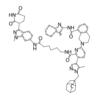 Cc1c(-c2ccc(N3CCc4cccc(C(=O)Nc5nc6ccccc6s5)c4C3)nc2C(=O)NCCCCCC(=O)Nc2ccc3c(C4CCC(=O)NC4=O)nn(C)c3c2)cnn1CC12CC3CC(CC1C3)C2